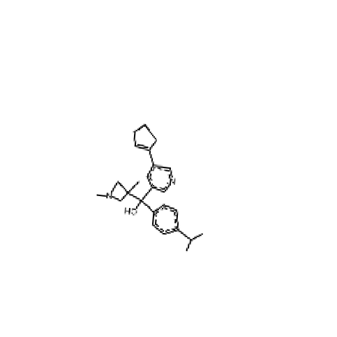 CC(C)c1ccc(C(O)(c2cncc(C3=CCCC3)c2)C2(C)CN(C)C2)cc1